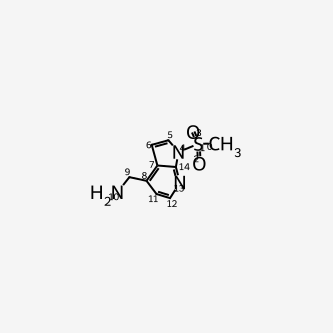 CS(=O)(=O)n1ccc2c(CN)ccnc21